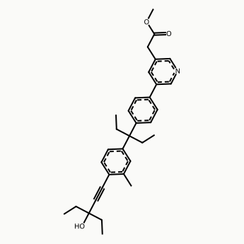 CCC(O)(C#Cc1ccc(C(CC)(CC)c2ccc(-c3cncc(CC(=O)OC)c3)cc2)cc1C)CC